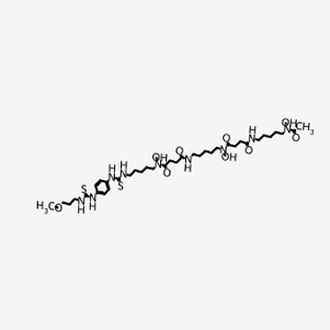 COCCCNC(=S)Nc1ccc(NC(=S)NCCCCCN(O)C(=O)CCC(=O)NCCCCCN(O)C(=O)CCC(=O)NCCCCCN(O)C(C)=O)cc1